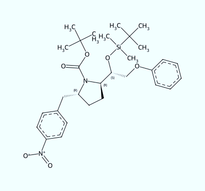 CC(C)(C)OC(=O)N1[C@@H](Cc2ccc([N+](=O)[O-])cc2)CC[C@@H]1[C@@H](COc1ccccc1)O[Si](C)(C)C(C)(C)C